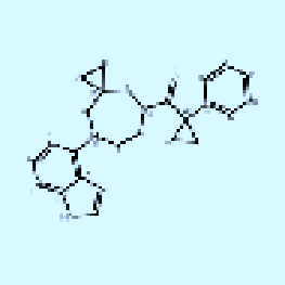 O=C(N1CCN(c2ncnc3[nH]ccc23)CC2(CC2)C1)C1(c2ccccc2)CC1